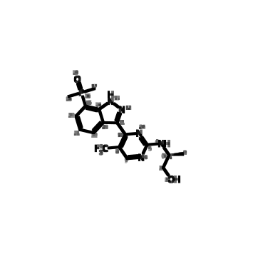 C[C@@H](CO)Nc1ncc(C(F)(F)F)c(-c2n[nH]c3c(P(C)(C)=O)cccc23)n1